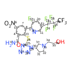 NC(=O)c1cc([N+](=O)[O-])cc(-c2ncc(C(F)(F)C(F)(F)C(F)(F)F)cc2F)c1Sc1nnnn1C1CCN(CCO)C1